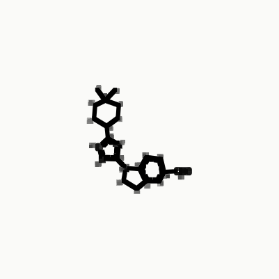 CC1(C)CCC(c2nc(N3CCc4cc(C=O)ccc43)no2)CC1